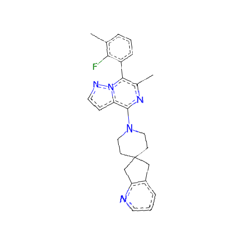 Cc1cccc(-c2c(C)nc(N3CCC4(CC3)Cc3cccnc3C4)c3ccnn23)c1F